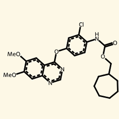 COc1cc2ncnc(Oc3ccc(NC(=O)OCC4CCCCCC4)c(Cl)c3)c2cc1OC